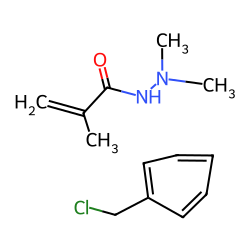 C=C(C)C(=O)NN(C)C.ClCc1ccccc1